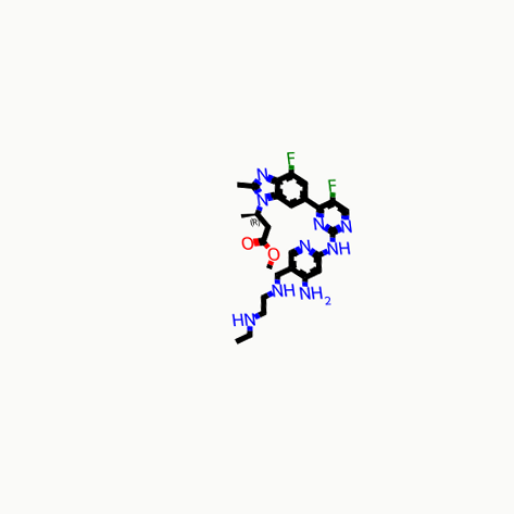 CCNCCNCc1cnc(Nc2ncc(F)c(-c3cc(F)c4nc(C)n([C@H](C)CC(=O)OC)c4c3)n2)cc1N